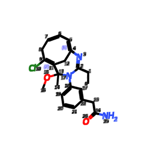 CCC1=N/C2=C/C=CC/C(Cl)=C(\C2)C(C)(OC)N1c1cccc(CC(N)=O)c1